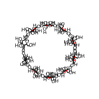 OCC1OC2OO[C@@H]3C(CO)O[C@H](OO[C@@H]4C(CO)O[C@H](OO[C@@H]5C(CO)O[C@H](OO[C@@H]6C(CO)O[C@H](OO[C@@H]7C(CO)O[C@H](OO[C@@H]8C(CO)O[C@H](OO[C@@H]9C(CO)O[C@H](OO[C@@H]%10C(CO)O[C@H](OO[C@@H]%11C(CO)O[C@H](OO[C@H]1[C@H](O)[C@@H]2O)C(O)[C@H]%11O)C(O)[C@H]%10O)C(O)[C@H]9O)C(O)[C@H]8O)C(O)[C@H]7O)C(O)[C@H]6O)C(O)[C@H]5O)C(O)[C@H]4O)C(O)[C@H]3O